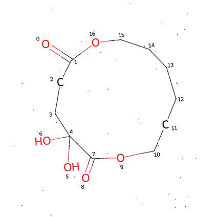 O=C1CCC(O)(O)C(=O)OCCCCCCO1